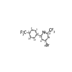 FC(F)(F)c1ccc(-c2cc(Br)cc(C(F)(F)F)n2)cc1